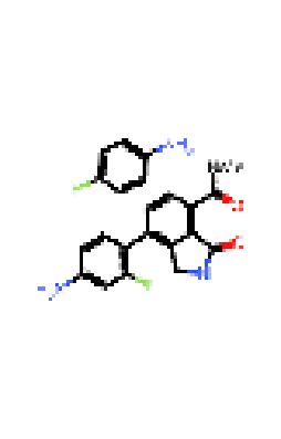 CNC(=O)c1ccc(-c2ccc(N)cc2F)c2c1C(=O)NC2.Nc1ccc(F)cc1